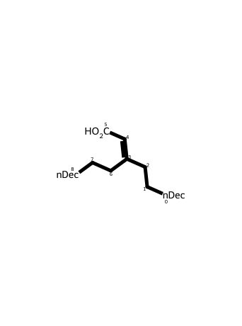 CCCCCCCCCCCCC(=CC(=O)O)CCCCCCCCCCCC